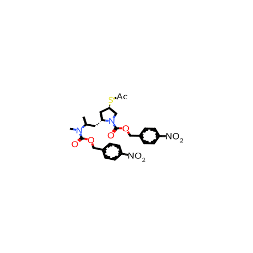 CC(=O)S[C@H]1C[C@@H](CC(C)N(C)C(=O)OCc2ccc([N+](=O)[O-])cc2)N(C(=O)OCc2ccc([N+](=O)[O-])cc2)C1